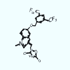 Cn1cc(Cn2oc(=O)[nH]c2=O)c2cc(OCc3cc(C(F)(F)F)cc(C(F)(F)F)c3)ccc21